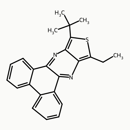 CCc1sc(C(C)(C)C)c2nc3c4ccccc4c4ccccc4c3nc12